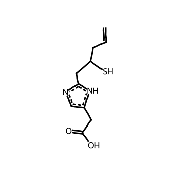 C=CCC(S)Cc1ncc(CC(=O)O)[nH]1